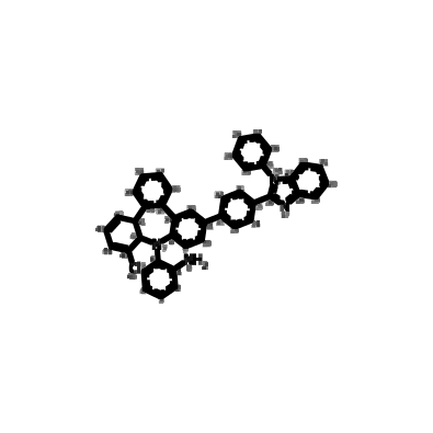 Nc1ccccc1N1c2ccc(-c3ccc(-c4nc5ccccc5n4-c4ccccc4)cc3)cc2-c2ccccc2C2C=CC=C(Cl)C21